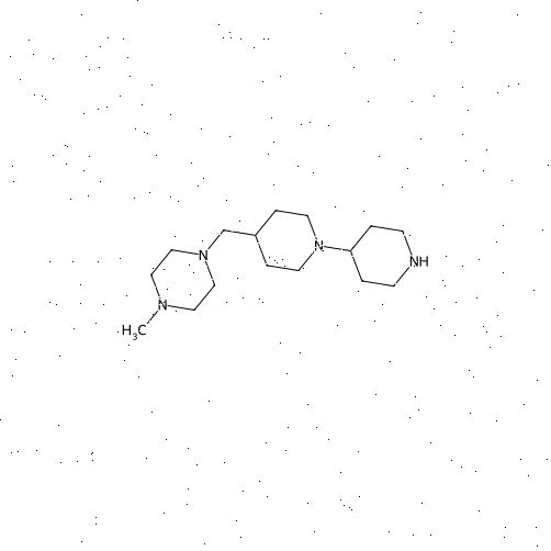 CN1CCN(CC2CCN(C3CCNCC3)CC2)CC1